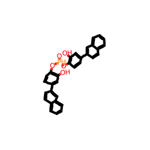 O=[PH](Oc1ccc(-c2ccc3ccccc3c2)cc1O)Oc1ccc(-c2ccc3ccccc3c2)cc1O